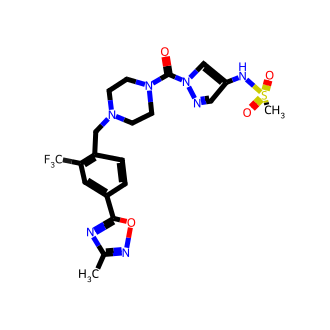 Cc1noc(-c2ccc(CN3CCN(C(=O)n4cc(NS(C)(=O)=O)cn4)CC3)c(C(F)(F)F)c2)n1